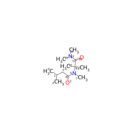 CC(C)CC(=O)N(C)C(C)(C)C(=O)N(C)C